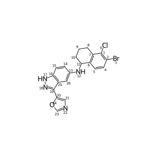 Clc1c(Br)ccc2c1CCCC2Nc1ccc2[nH]nc(-c3cnco3)c2c1